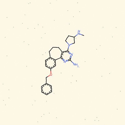 CNC1CCN(c2nc(N)nc3c2CCCc2ccc(OCc4ccccc4)cc2-3)C1